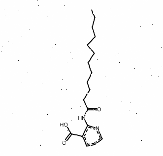 CCCCCCCCCCCC(=O)Nc1ncccc1C(=O)O